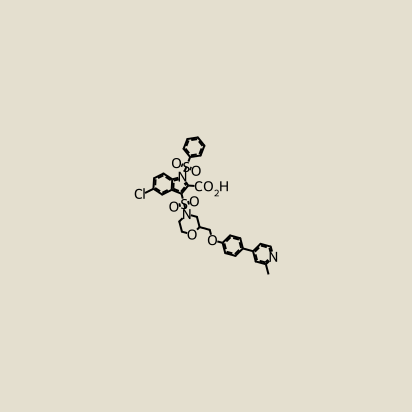 Cc1cc(-c2ccc(OCC3CN(S(=O)(=O)c4c(C(=O)O)n(S(=O)(=O)c5ccccc5)c5ccc(Cl)cc45)CCO3)cc2)ccn1